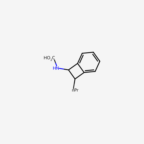 CCCC1c2ccccc2C1NC(=O)O